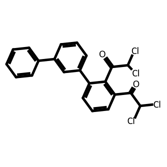 O=C(c1cccc(-c2cccc(-c3ccccc3)c2)c1C(=O)C(Cl)Cl)C(Cl)Cl